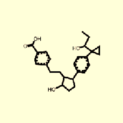 CCC(O)C1(c2ccc(C3CCC(O)C3CCc3ccc(C(=O)O)cc3)cc2)CC1